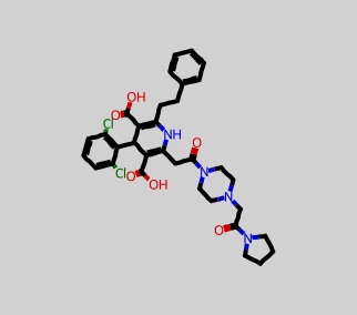 O=C(O)C1=C(CCc2ccccc2)NC(CC(=O)N2CCN(CC(=O)N3CCCC3)CC2)=C(C(=O)O)C1c1c(Cl)cccc1Cl